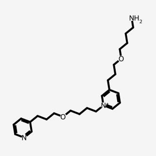 NCCCCOCCCc1ccc[n+](CCCCOCCCc2cccnc2)c1